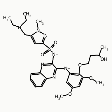 CCN(CC)Cc1cc(S(=O)(=O)Nc2nc3ccccc3nc2Nc2cc(OC)cc(OC)c2OCCC(C)O)nn1C